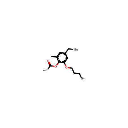 CCCC(=O)Oc1c(C)cc(CC(C)(C)C)cc1OCCCC(C)C